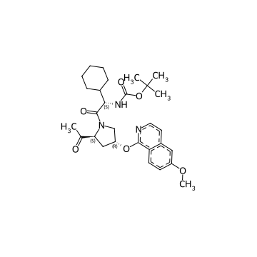 COc1ccc2c(O[C@@H]3C[C@@H](C(C)=O)N(C(=O)[C@@H](NC(=O)OC(C)(C)C)C4CCCCC4)C3)nccc2c1